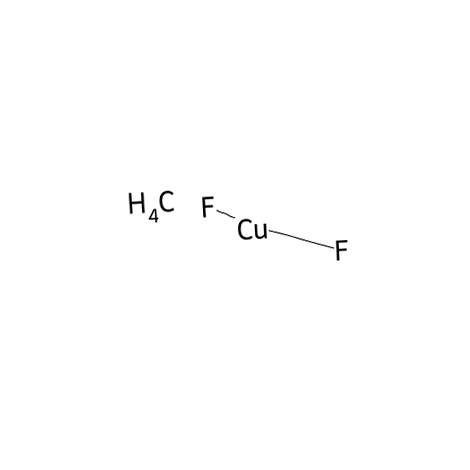 C.[F][Cu][F]